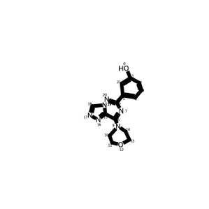 Oc1cccc(-c2nc(N3CCOCC3)c3nncn3n2)c1